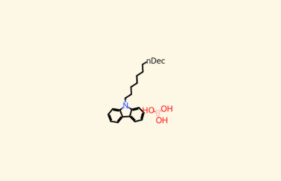 CCCCCCCCCCCCCCCCCn1c2ccccc2c2ccccc21.OB(O)O